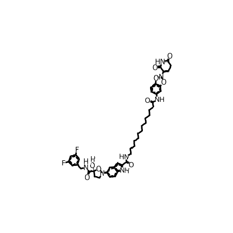 O=C1CCC(N2Oc3ccc(NC(=O)CCCCCCCCCCCCCNC(=O)c4cc5cc(N6CC[C@@](O)(C(=O)NCc7cc(F)cc(F)c7)O6)ccc5[nH]4)cc3O2)C(=O)N1